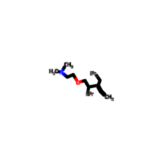 C=C=C(CC(C)C)C(CCC)COCCN(C)C